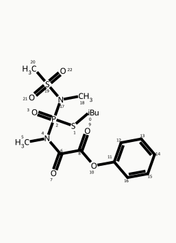 CCC(C)SP(=O)(N(C)C(=O)C(=O)Oc1ccccc1)N(C)S(C)(=O)=O